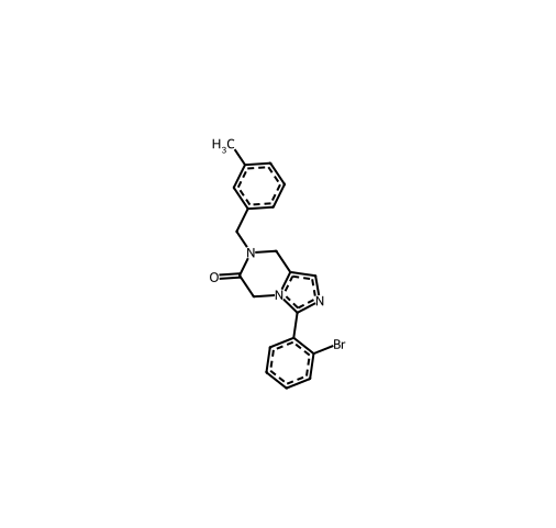 Cc1cccc(CN2Cc3cnc(-c4ccccc4Br)n3CC2=O)c1